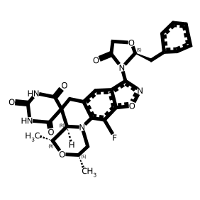 C[C@H]1CN2c3c(cc4c(N5C(=O)CO[C@H]5Cc5ccccc5)noc4c3F)CC3(C(=O)NC(=O)NC3=O)[C@@H]2[C@@H](C)O1